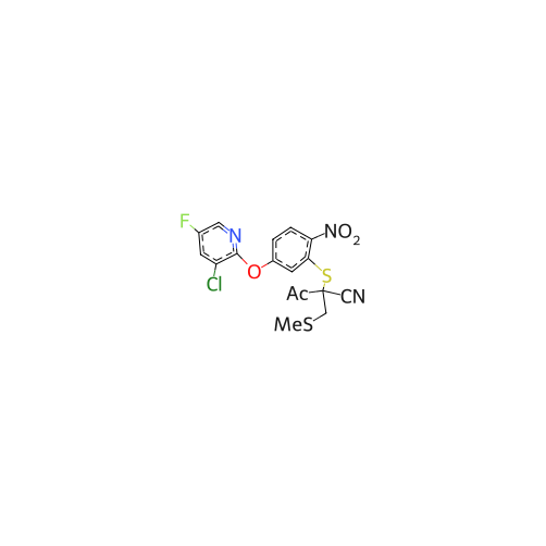 CSCC(C#N)(Sc1cc(Oc2ncc(F)cc2Cl)ccc1[N+](=O)[O-])C(C)=O